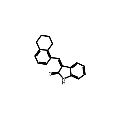 O=C1Nc2ccccc2C1=Cc1cccc2c1CCCC2